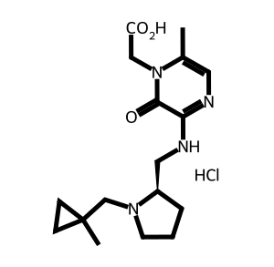 Cc1cnc(NC[C@H]2CCCN2CC2(C)CC2)c(=O)n1CC(=O)O.Cl